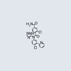 NC(=O)c1ccc(C(=O)N(c2ccc(Cl)c(-c3ccccn3)c2)c2ncn[nH]2)c(Cl)c1